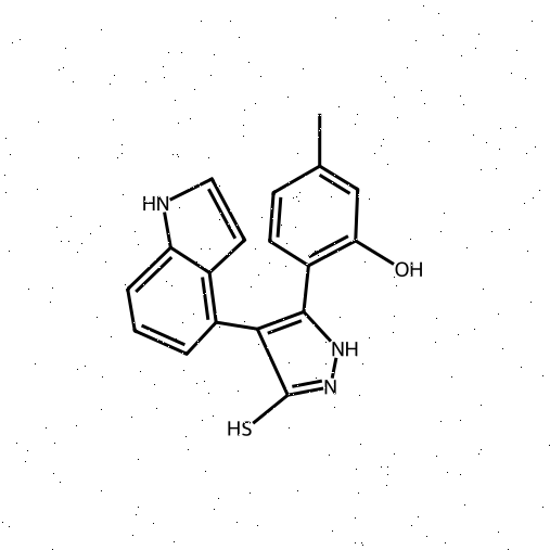 Cc1ccc(-c2[nH]nc(S)c2-c2cccc3[nH]ccc23)c(O)c1